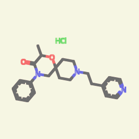 CC1OC2(CCN(CCc3ccncc3)CC2)CN(c2ccccc2)C1=O.Cl